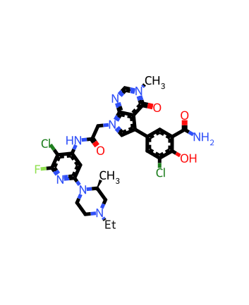 CCN1CCN(c2cc(NC(=O)Cn3cc(-c4cc(Cl)c(O)c(C(N)=O)c4)c4c(=O)n(C)cnc43)c(Cl)c(F)n2)[C@@H](C)C1